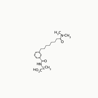 C[C@@H](NC(=O)c1cccc(CCCCCCCC(=O)N(C)C)c1)C(=O)O